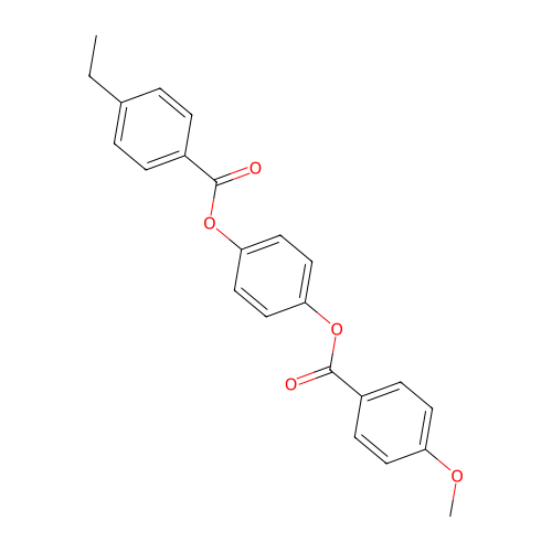 CCc1ccc(C(=O)Oc2ccc(OC(=O)c3ccc(OC)cc3)cc2)cc1